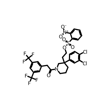 O=C(Cc1cc(C(F)(F)F)cc(C(F)(F)F)c1)N1CCCC(CCOS(=O)(=O)c2ccccc2[N+](=O)[O-])(c2ccc(Cl)c(Cl)c2)C1